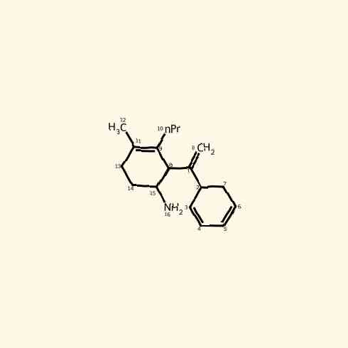 C=C(C1C=CC=CC1)C1C(CCC)=C(C)CCC1N